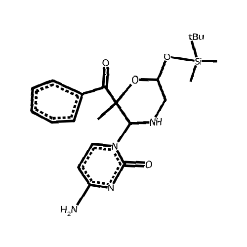 CC1(C(=O)c2ccccc2)OC(O[Si](C)(C)C(C)(C)C)CNC1n1ccc(N)nc1=O